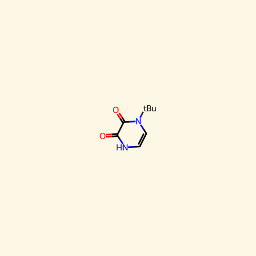 CC(C)(C)n1cc[nH]c(=O)c1=O